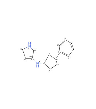 c1ccc(C2CCC(N[C@@H]3CCNC3)C2)cc1